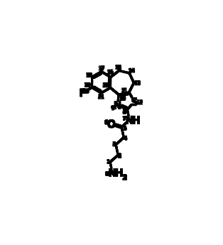 NCCCCC(=O)Nc1nc2c(s1)CCCc1ccc(F)cc1-2